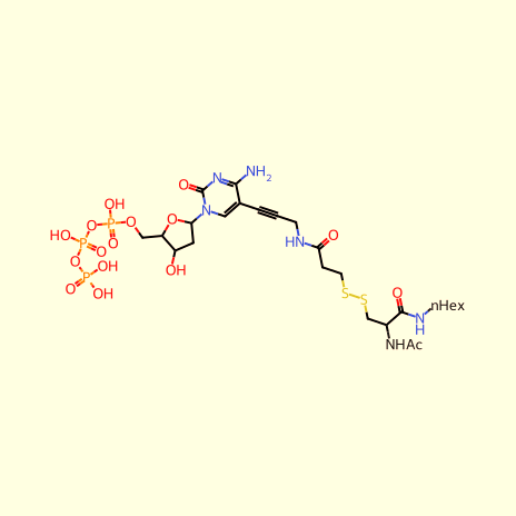 CCCCCCNC(=O)C(CSSCCC(=O)NCC#Cc1cn(C2CC(O)C(COP(=O)(O)OP(=O)(O)OP(=O)(O)O)O2)c(=O)nc1N)NC(C)=O